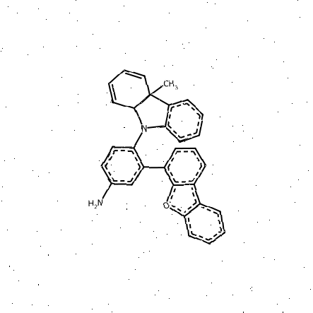 CC12C=CC=CC1N(c1ccc(N)cc1-c1cccc3c1oc1ccccc13)c1ccccc12